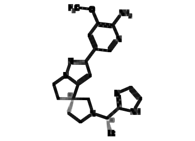 CC[C@@H](c1ncc[nH]1)N1CC[C@@]2(CCn3nc(-c4cnc(N)c(OC(F)(F)F)c4)cc32)C1